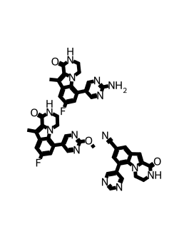 COc1ncc(-c2cc(F)cc3c(C)c4n(c23)CCNC4=O)cn1.Cc1c2n(c3c(-c4cnc(N)nc4)cc(F)cc13)CCNC2=O.N#Cc1cc(-c2cncnc2)c2c(c1)cc1n2CCNC1=O